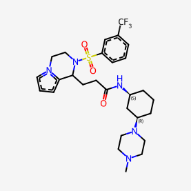 CN1CCN([C@@H]2CCC[C@H](NC(=O)CCC3c4cccn4CCN3S(=O)(=O)c3cccc(C(F)(F)F)c3)C2)CC1